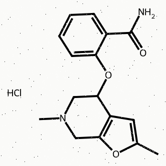 Cc1cc2c(o1)CN(C)CC2Oc1ccccc1C(N)=O.Cl